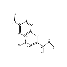 COc1ccc(CC(=O)N(C)OC)c(SC)c1